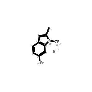 CCc1cc2ccc(C(C)C)cc2[s+]1C(F)(F)F.[Br-]